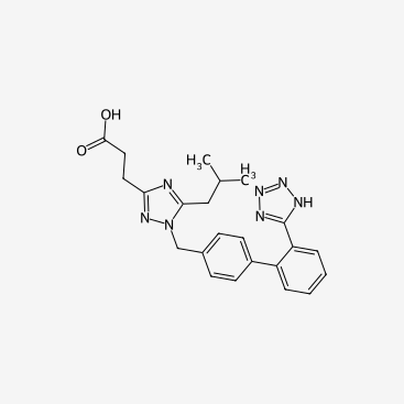 CC(C)Cc1nc(CCC(=O)O)nn1Cc1ccc(-c2ccccc2-c2nnn[nH]2)cc1